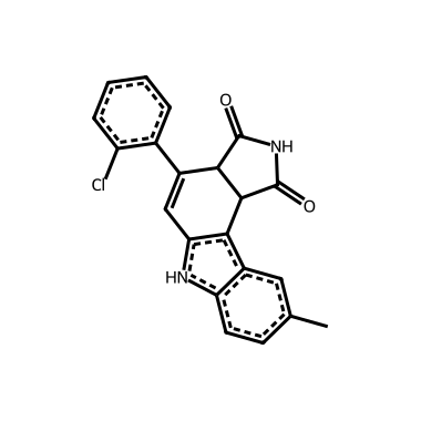 Cc1ccc2[nH]c3c(c2c1)C1C(=O)NC(=O)C1C(c1ccccc1Cl)=C3